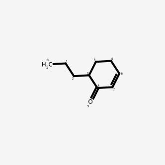 CCCC1CCC=CC1=O